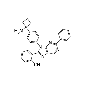 N#Cc1ccccc1-c1nc2cnc(-c3ccccc3)nc2n1-c1ccc(C2(N)CCC2)cc1